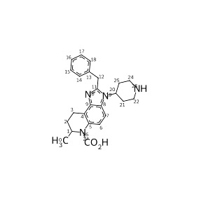 CC1CCc2c(ccc3c2nc(Cc2ccccc2)n3C2CCNCC2)N1C(=O)O